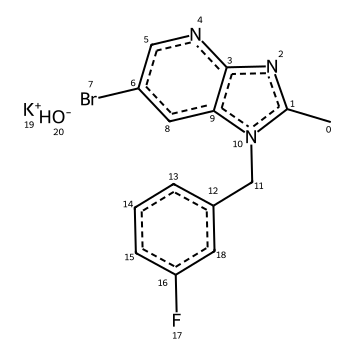 Cc1nc2ncc(Br)cc2n1Cc1cccc(F)c1.[K+].[OH-]